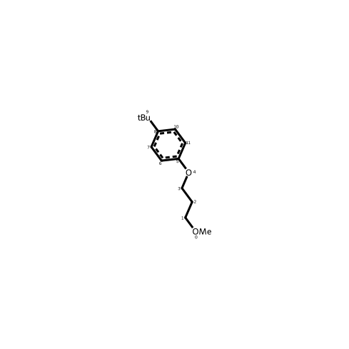 COCCCOc1ccc(C(C)(C)C)cc1